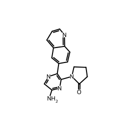 Nc1cnc(-c2ccc3ncccc3c2)c(N2CCCC2=O)n1